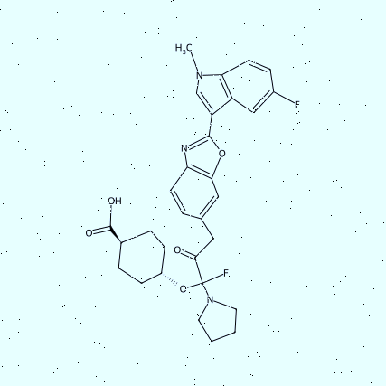 Cn1cc(-c2nc3ccc(CC(=O)C(F)(O[C@H]4CC[C@H](C(=O)O)CC4)N4CCCC4)cc3o2)c2cc(F)ccc21